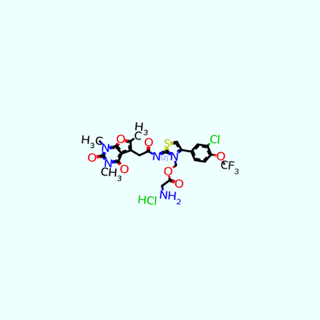 Cc1oc2c(c1CC(=O)/N=c1\scc(-c3ccc(OC(F)(F)F)c(Cl)c3)n1COC(=O)CN)c(=O)n(C)c(=O)n2C.Cl